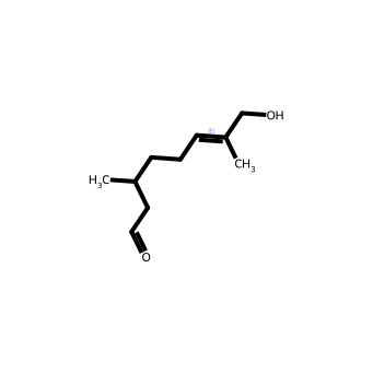 C/C(=C\CCC(C)CC=O)CO